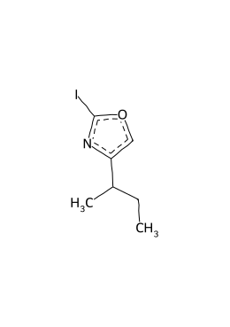 CCC(C)c1coc(I)n1